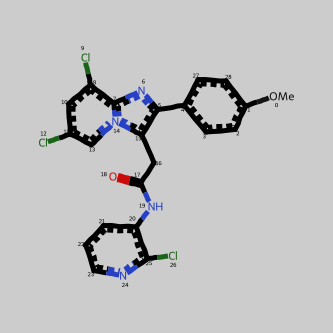 COc1ccc(-c2nc3c(Cl)cc(Cl)cn3c2CC(=O)Nc2cccnc2Cl)cc1